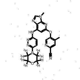 [2H]C1([2H])OC([2H])([2H])C([2H])([2H])N(c2ccc(Nc3cc(Oc4cnc(C#N)cc4C)nc4c3ncn4C)nn2)C1([2H])[2H]